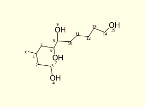 CC(CCO)CC(O)C(O)CCCCCO